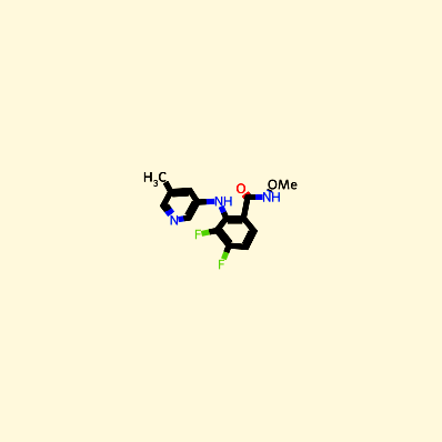 CONC(=O)c1ccc(F)c(F)c1Nc1cncc(C)c1